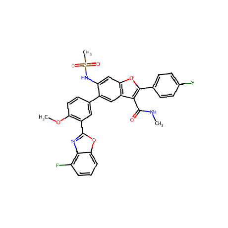 CNC(=O)c1c(-c2ccc(F)cc2)oc2cc(NS(C)(=O)=O)c(-c3ccc(OC)c(-c4nc5c(F)cccc5o4)c3)cc12